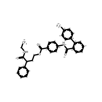 O=C(OCCC(C(=O)NCC(F)(F)F)c1ccccc1)c1ccc(NC(=O)c2ccccc2-c2ccc(C(F)(F)F)cc2)cc1